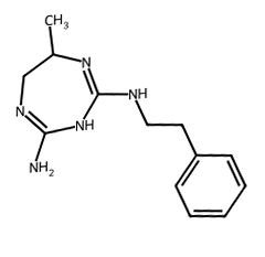 CC1CN=C(N)NC(NCCc2ccccc2)=N1